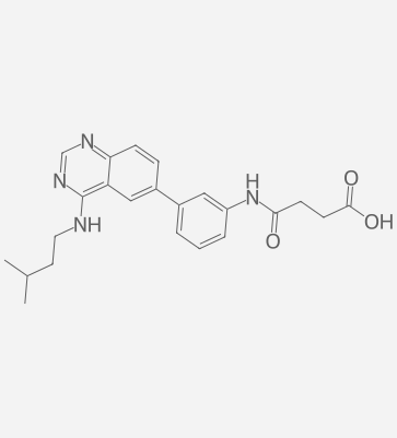 CC(C)CCNc1ncnc2ccc(-c3cccc(NC(=O)CCC(=O)O)c3)cc12